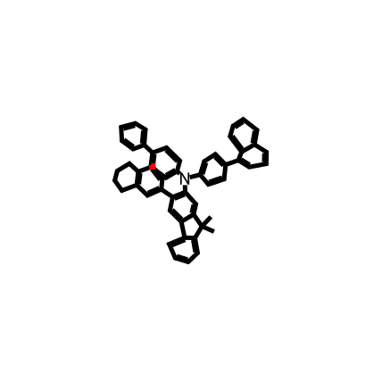 CC1(C)c2ccccc2-c2cc(-c3ccc4c(c3)CCCC4)c(N(c3ccc(-c4ccccc4)cc3)c3ccc(-c4cccc5ccccc45)cc3)cc21